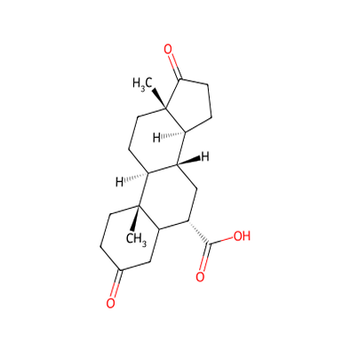 C[C@]12CCC(=O)CC1[C@@H](C(=O)O)C[C@@H]1[C@@H]2CC[C@]2(C)C(=O)CC[C@@H]12